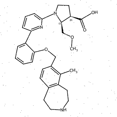 COC[C@@H]1[C@H](C(=O)O)CCN1c1cccc(-c2ccccc2OCc2ccc3c(c2C)CCNCC3)n1